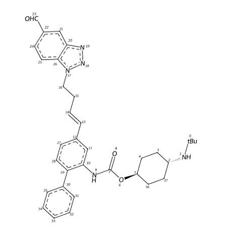 CC(C)(C)N[C@H]1CC[C@H](OC(=O)Nc2cc(C=CCCn3nnc4cc(C=O)ccc43)ccc2-c2ccccc2)CC1